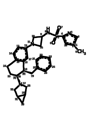 Cn1cnc(S(=O)(=O)NC2CN(c3ccc4c(c3)[C@@H](Cc3ccccc3)[C@@H](N3CC5CC5C3)CC4)C2)c1